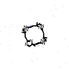 CC12C=NC(=N1)CC1(C)C=N/C(=C/C3(C)C=NC(=N3)CC3(C)C=N/C(=C/2)N3)N1